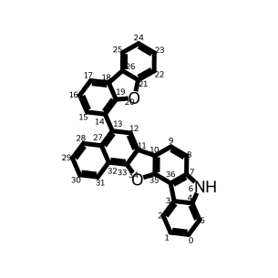 c1ccc2c(c1)[nH]c1ccc3c4cc(-c5cccc6c5oc5ccccc56)c5ccccc5c4oc3c12